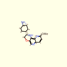 COc1ccc2ncc3c(c2n1)NC([C@H]1CC[C@H](N)CC1)CO3